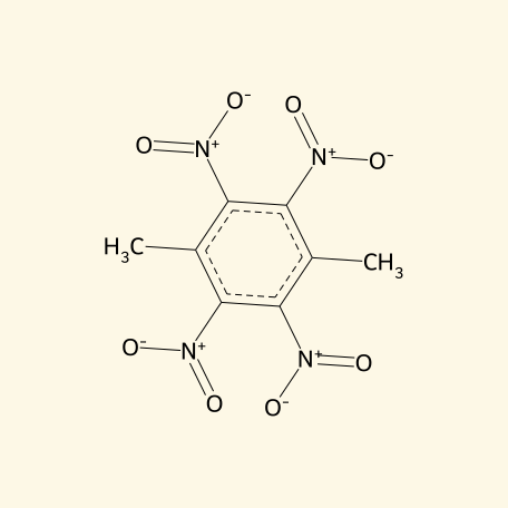 Cc1c([N+](=O)[O-])c([N+](=O)[O-])c(C)c([N+](=O)[O-])c1[N+](=O)[O-]